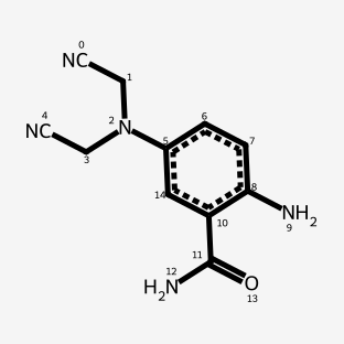 N#CCN(CC#N)c1ccc(N)c(C(N)=O)c1